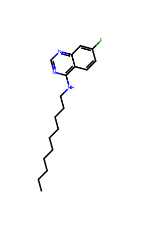 CCCCCCCCCCNc1ncnc2cc(F)ccc12